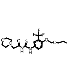 CCCCCOc1ccc(NC(=S)NC(=O)CN2CCOCC2)cc1C(F)(F)F